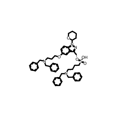 Ic1nn(C2CCCCO2)c2ccc(OCCCN(Cc3ccccc3)Cc3ccccc3)cc12.O=S(=O)(O)CCCCN(Cc1ccccc1)Cc1ccccc1